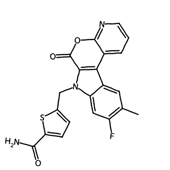 Cc1cc2c3c4cccnc4oc(=O)c3n(Cc3ccc(C(N)=O)s3)c2cc1F